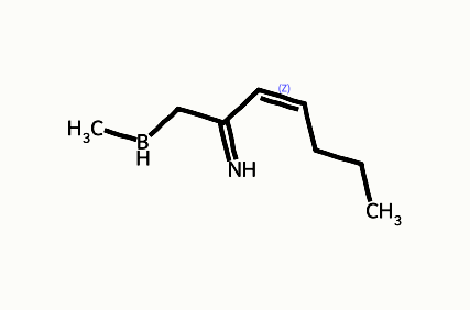 CBCC(=N)/C=C\CCC